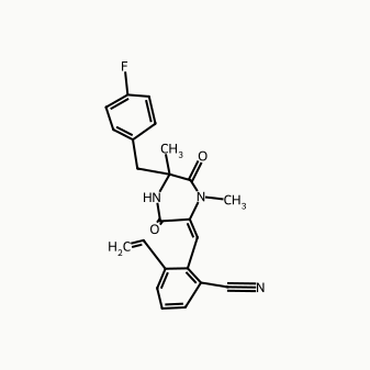 C=Cc1cccc(C#N)c1/C=C1\C(=O)NC(C)(Cc2ccc(F)cc2)C(=O)N1C